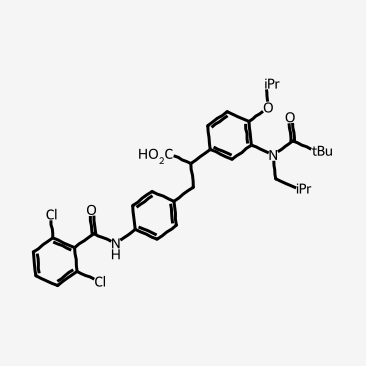 CC(C)CN(C(=O)C(C)(C)C)c1cc(C(Cc2ccc(NC(=O)c3c(Cl)cccc3Cl)cc2)C(=O)O)ccc1OC(C)C